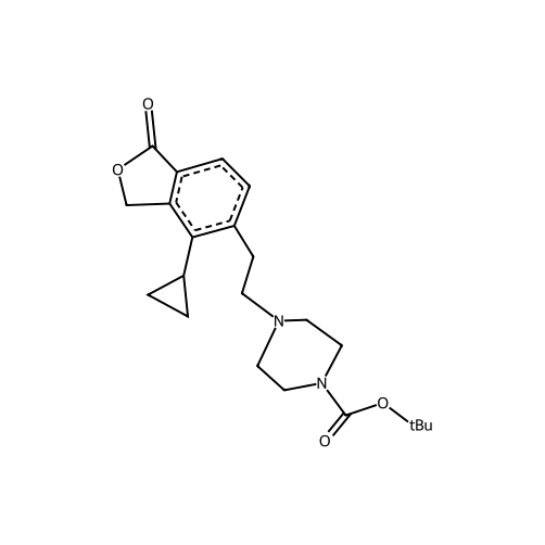 CC(C)(C)OC(=O)N1CCN(CCc2ccc3c(c2C2CC2)COC3=O)CC1